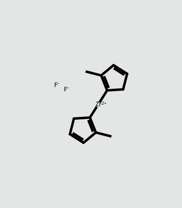 CC1=[C]([Zr+2][C]2=C(C)C=CC2)CC=C1.[F-].[F-]